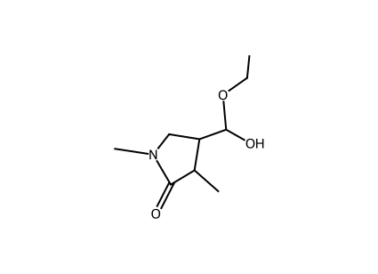 CCOC(O)C1CN(C)C(=O)C1C